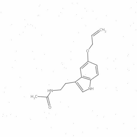 C=CCOc1ccc2[nH]cc(CCNC(C)=O)c2c1